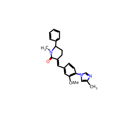 COc1cc(/C=C2\CCC(c3ccccc3)N(C)C2=O)ccc1-n1cnc(C)c1